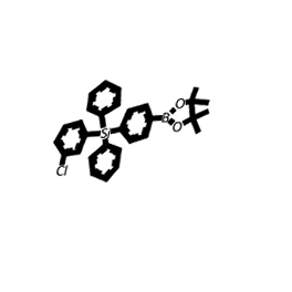 CC1(C)OB(c2ccc([Si](c3ccccc3)(c3ccccc3)c3cccc(Cl)c3)cc2)OC1(C)C